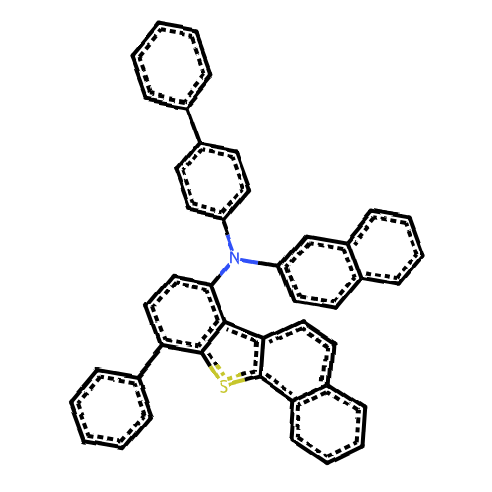 c1ccc(-c2ccc(N(c3ccc4ccccc4c3)c3ccc(-c4ccccc4)c4sc5c6ccccc6ccc5c34)cc2)cc1